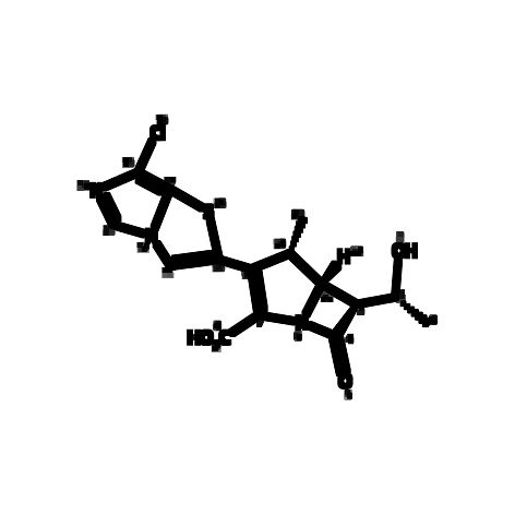 C[C@@H](O)[C@H]1C(=O)N2C(C(=O)O)=C(c3cn4cnc(Cl)c4s3)[C@H](C)[C@H]12